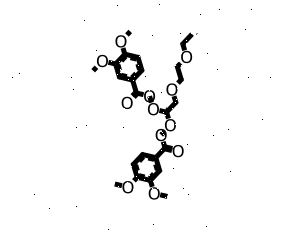 [CH2]COCCOC[C](OOC(=O)c1ccc(OC)c(OC)c1)OOC(=O)c1ccc(OC)c(OC)c1